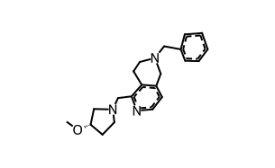 CO[C@H]1CCN(Cc2nccc3c2CCN(Cc2ccccc2)C3)C1